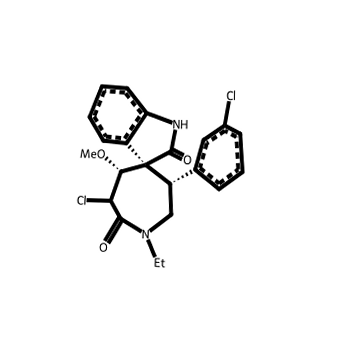 CCN1C[C@@H](c2cccc(Cl)c2)[C@]2(C(=O)Nc3ccccc32)[C@@H](OC)C(Cl)C1=O